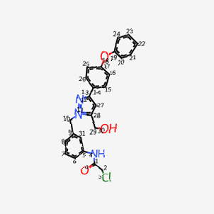 O=C(CCl)Nc1cccc(Cn2nc(-c3ccc(Oc4ccccc4)cc3)cc2CO)c1